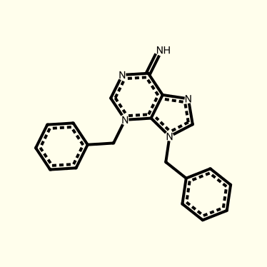 N=c1ncn(Cc2ccccc2)c2c1ncn2Cc1ccccc1